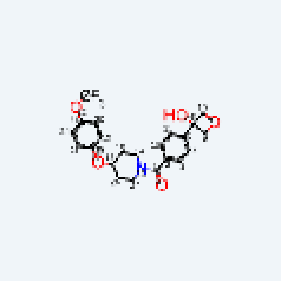 O=C(c1ccc(C2(O)COC2)cc1)N1CCC(Oc2ccc(OC(F)(F)F)cc2)CC1